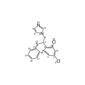 Clc1ccc(C(Cn2ccnc2)Sc2ccccc2)c(Cl)c1